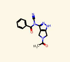 CC(=O)N1Cc2[nH]nc(N(C#N)C(=O)c3ccccc3)c2C1